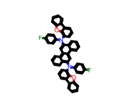 Fc1ccc(N(c2cc3c4ccccc4c(N(c4ccc(F)cc4)c4cccc5c4oc4ccccc45)cc3c3ccccc23)c2cccc3c2oc2ccccc23)cc1